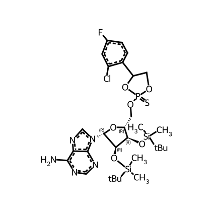 CC(C)(C)[Si](C)(C)O[C@@H]1[C@H](O[Si](C)(C)C(C)(C)C)[C@@H](COP2(=S)OCC(c3ccc(F)cc3Cl)O2)O[C@H]1n1cnc2c(N)ncnc21